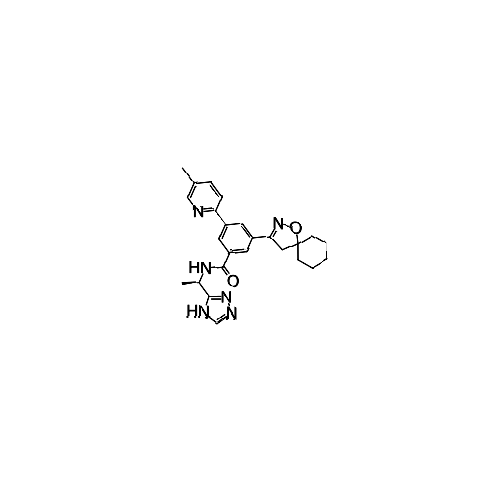 Cc1ccc(-c2cc(C(=O)N[C@H](C)c3nnc[nH]3)cc(C3=NOC4(CCCCC4)C3)c2)nc1